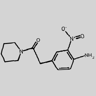 Nc1ccc(CC(=O)N2CCCCC2)cc1[N+](=O)[O-]